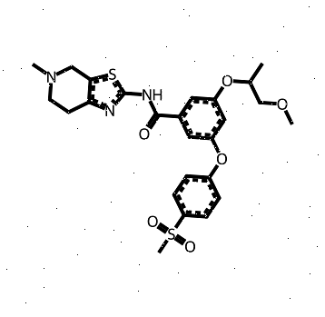 COCC(C)Oc1cc(Oc2ccc(S(C)(=O)=O)cc2)cc(C(=O)Nc2nc3c(s2)CN(C)CC3)c1